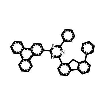 c1ccc(-c2nc(-c3ccc4c5ccccc5c5ccccc5c4c3)nc(-c3cccc4c3Cc3c(-c5ccccc5)cccc3-4)n2)cc1